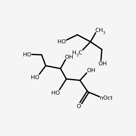 CC(C)(CO)CO.CCCCCCCCC(=O)C(O)C(O)C(O)C(O)CO